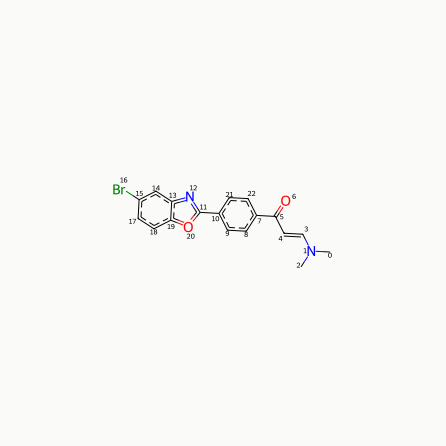 CN(C)C=CC(=O)c1ccc(-c2nc3cc(Br)ccc3o2)cc1